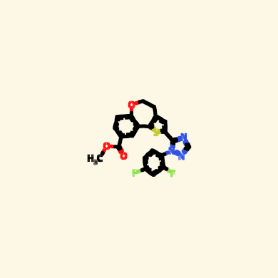 COC(=O)c1ccc2c(c1)-c1sc(-c3ncnn3-c3ccc(F)cc3F)cc1CCO2